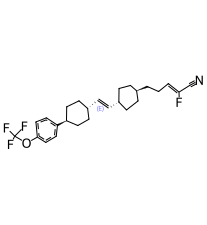 N#CC(F)=CCC[C@H]1CC[C@H](/C=C/[C@H]2CC[C@H](c3ccc(OC(F)(F)F)cc3)CC2)CC1